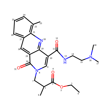 CCOC(=O)C(C)Cn1cc(C(=O)NCCN(C)C)c2nc3c(C)cccc3cc2c1=O